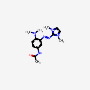 CC(=O)Nc1ccc(N(C)C)c(/N=N/c2n(C)cc[n+]2C)c1